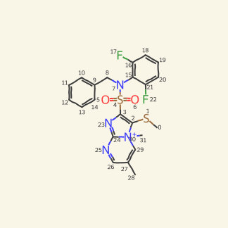 CSC1=C(S(=O)(=O)N(Cc2ccccc2)c2c(F)cccc2F)N=C2N=CC(C)=C[N+]21C